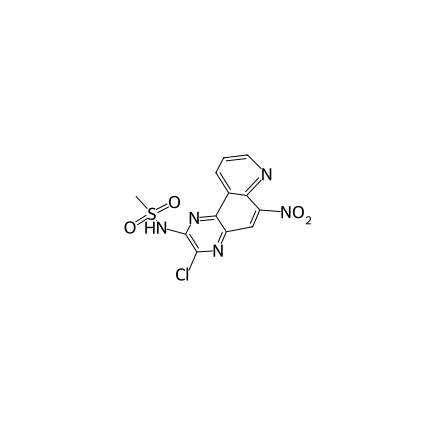 CS(=O)(=O)Nc1nc2c(cc([N+](=O)[O-])c3ncccc32)nc1Cl